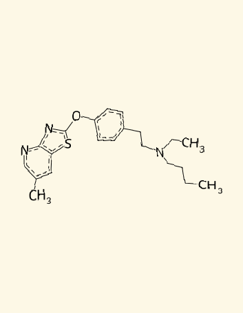 CCCCN(CC)CCc1ccc(Oc2nc3ncc(C)cc3s2)cc1